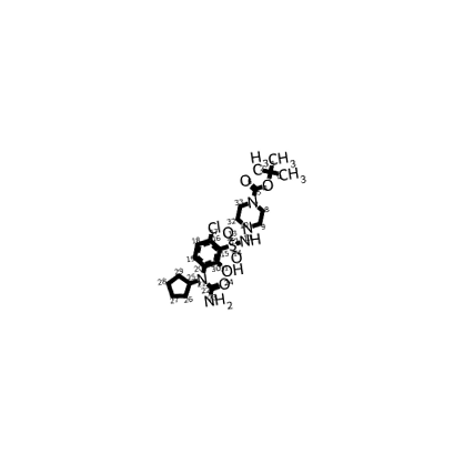 CC(C)(C)OC(=O)N1CCN(NS(=O)(=O)c2c(Cl)ccc(N(C(N)=O)C3CCCC3)c2O)CC1